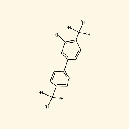 [2H]C([2H])([2H])c1ccc(-c2ccc(C([2H])([2H])[2H])c(Cl)c2)nc1